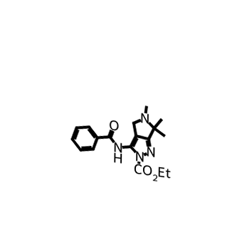 CCOC(=O)n1nc2c(c1NC(=O)c1ccccc1)CN(C)C2(C)C